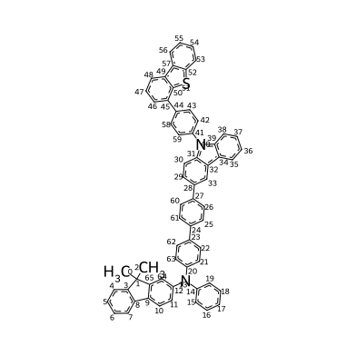 CC1(C)c2ccccc2-c2ccc(N(c3ccccc3)c3ccc(-c4ccc(-c5ccc6c(c5)c5ccccc5n6-c5ccc(-c6cccc7c6sc6ccccc67)cc5)cc4)cc3)cc21